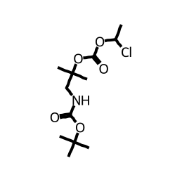 CC(Cl)OC(=O)OC(C)(C)CNC(=O)OC(C)(C)C